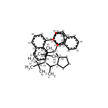 CC([C@@H]1CCC[C@@H]1P(c1cccc2ccccc12)c1cccc2cccc(C3CCCC3)c12)P(C(C)(C)C)C(C)(C)C